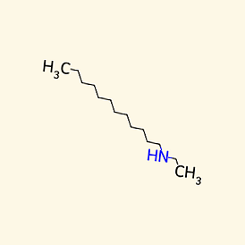 CCCCCCCCCCCCNCC